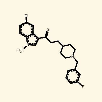 Cn1cc(C(=O)CCC2CCN(Cc3cccc(F)c3)CC2)c2cc(Cl)ccc21